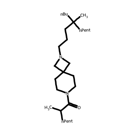 CCCCCC(C)C(=O)N1CCC2(CC1)CN(CCCC(C)(CCCC)CCCCC)C2